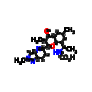 Cc1cc([C@@H](C)NC(=O)O)c2oc(-c3ccc4nn(C)cc4n3)c(C)c(=O)c2c1